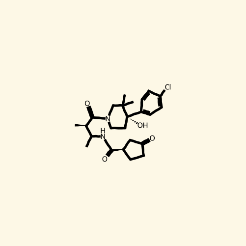 CC(NC(=O)[C@@H]1CCC(=O)C1)[C@@H](C)C(=O)N1CC[C@](O)(c2ccc(Cl)cc2)C(C)(C)C1